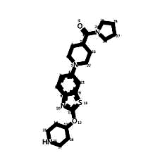 O=C(C1CCN(c2ccc3nc(OC4CCNCC4)sc3c2)CC1)N1CCCC1